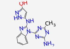 Cc1nc(N)nc(-n2c(Nc3cc(O)n[nH]3)nc3ccccc32)n1